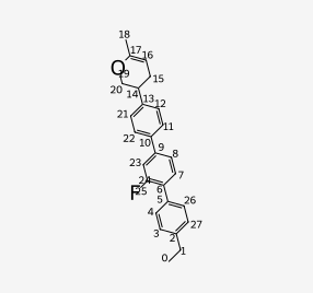 CCc1ccc(-c2ccc(-c3ccc(C4CC=C(C)OC4)cc3)cc2F)cc1